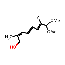 COC(OC)C(C)=CC=CC=C(C)CO